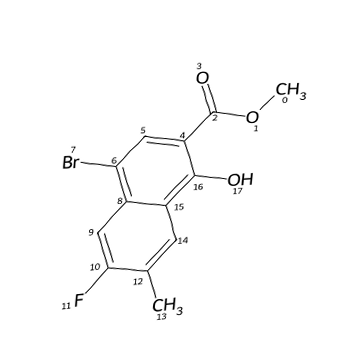 COC(=O)c1cc(Br)c2cc(F)c(C)cc2c1O